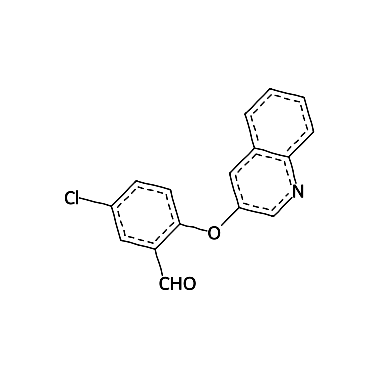 O=Cc1cc(Cl)ccc1Oc1cnc2ccccc2c1